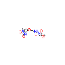 CCN1C(=O)C(C)(C)C(=O)N(C)c2cc(OCCCNC(=O)Cn3ccc4oc(C)cc4c3=O)ccc21